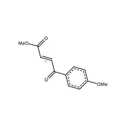 COC(=O)/C=C/C(=O)c1ccc(OC)cc1